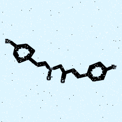 O=C(C=Cc1ccc(Br)cc1)C[S+]([O-])C=Cc1ccc(Br)cc1